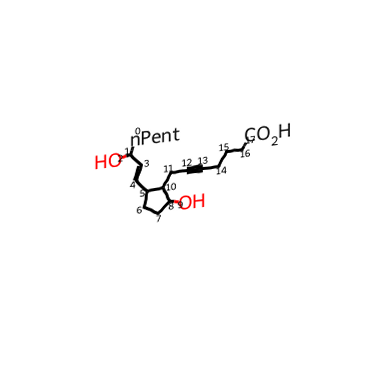 CCCCCC(O)C=CC1CCC(O)C1CC#CCCCC(=O)O